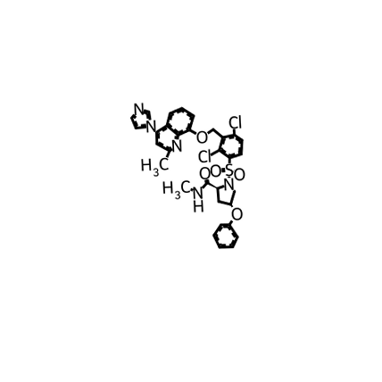 CNC(=O)[C@@H]1C[C@@H](Oc2ccccc2)CN1S(=O)(=O)c1ccc(Cl)c(COc2cccc3c(-n4ccnc4)cc(C)nc23)c1Cl